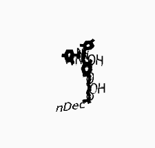 CCCCCCCCCCCC(C)OCC(O)COc1ccc(-c2nc(-c3ccc(C)cc3C)nc(-c3ccc(C)cc3C)n2)c(O)c1